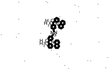 CC1(C)c2ccccc2N(C2=CC=CC3C=CC=CC23)c2cc(-c3nc(-c4ccc5c(c4)N(c4cccc6ccccc46)c4ccccc4C5(C)C)ns3)ccc21